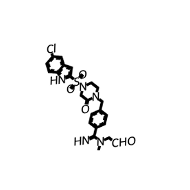 CN(CC=O)C(=N)c1ccc(CN2CCN(S(=O)(=O)c3cc4cc(Cl)ccc4[nH]3)CC2=O)cc1